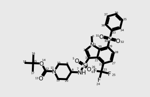 Cn1cc(S(=O)(=O)NC2CCN(C(=O)OC(C)(C)C)CC2)c2c(C(F)(F)F)ccc(S(=O)(=O)c3ccccc3)c21